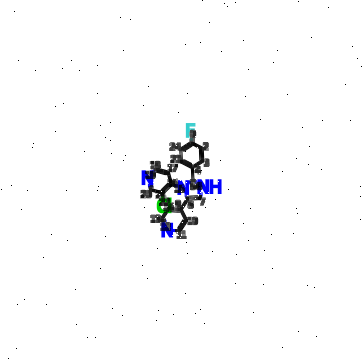 Fc1ccc(C2NC=C(c3ccncc3)N2c2ccncc2Cl)cc1